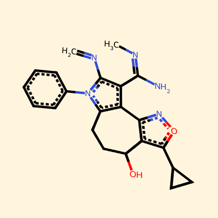 C=Nc1c(/C(N)=N\C)c2c(n1-c1ccccc1)CCC(O)c1c-2noc1C1CC1